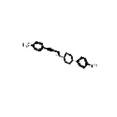 CCCc1ccc([C@H]2CC[C@H](/C=C/C#Cc3ccc(C(F)(F)F)cc3)CC2)cc1